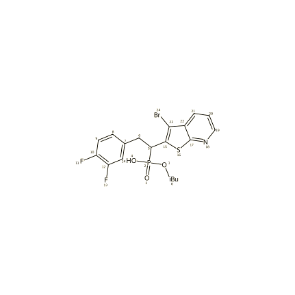 CCC(C)OP(=O)(O)C(Cc1ccc(F)c(F)c1)c1sc2ncccc2c1Br